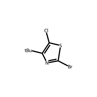 CC(C)(C)c1nc(Br)sc1Cl